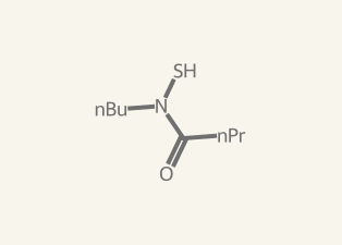 CCCCN(S)C(=O)CCC